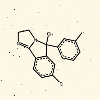 Cc1cccc(C2(O)c3cc(Cl)ccc3C3=NCCN32)c1